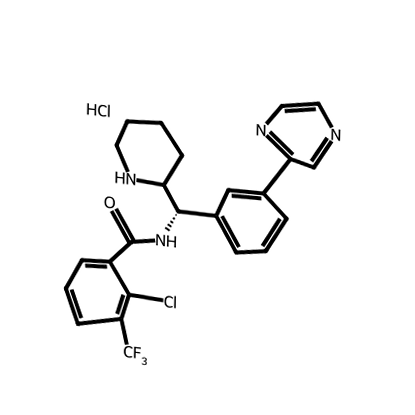 Cl.O=C(N[C@@H](c1cccc(-c2cnccn2)c1)C1CCCCN1)c1cccc(C(F)(F)F)c1Cl